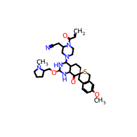 C=CC(=O)N1CCN(C2NC(OCC3CCCN3C)NC3C(=O)[C@@]4(CCC32)Cc2ccc(OC)cc2CS4)CC1CC#N